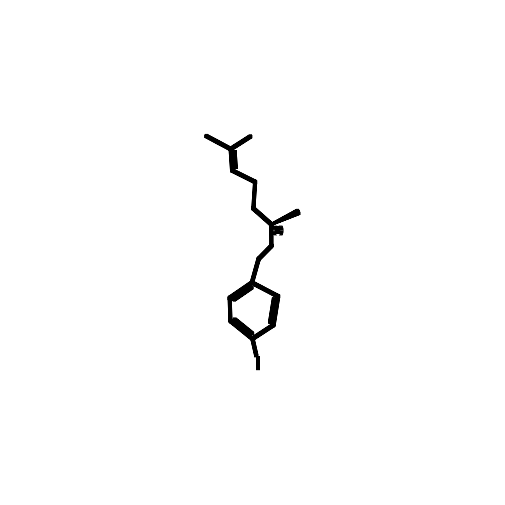 CC(C)=CCC[C@@H](C)CCc1ccc(I)cc1